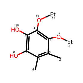 CCOc1c(C)c(C)c(O)c(O)c1OCC